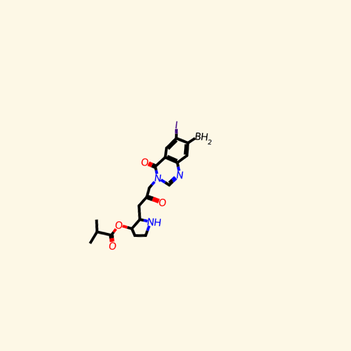 Bc1cc2ncn(CC(=O)CC3NCCC3OC(=O)C(C)C)c(=O)c2cc1I